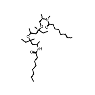 CCCCCCCC(=O)NC(C)CC(C)(CC)OC(C)C[C@@](C)(CC)OCC(C)N(C)C(=O)CCCCCCC